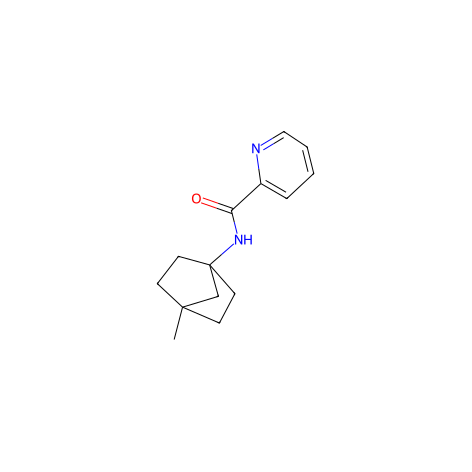 CC12CCC(NC(=O)c3ccccn3)(CC1)C2